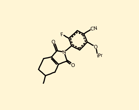 CC1CCC2=C(C1)C(=O)N(c1cc(OC(C)C)c(C#N)cc1F)C2=O